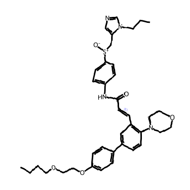 CCCCOCCOc1ccc(-c2ccc(N3CCOCC3)c(/C=C/C(=O)Nc3ccc([S+]([O-])Cc4cncn4CCC)cc3)c2)cc1